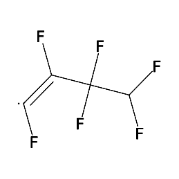 F/[C]=C(/F)C(F)(F)C(F)F